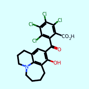 O=C(O)c1c(Cl)c(Cl)c(Cl)c(Cl)c1C(=O)c1cc2c3c(c1O)CCCCN3CCC2